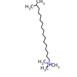 CC(C)CCCCCCCCCCCCCCC[N+](C)(C)C